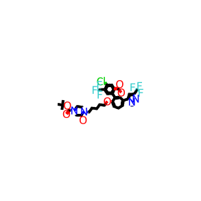 CC(=O)OC1=C(c2ccc(Cl)c(C(F)(F)F)c2)C(OCCCCCN2CCN(C(=O)OC(C)(C)C)CC2=O)=CCC=C1c1cc(C(F)(F)F)nn1C